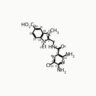 CCn1c(CNC(=O)c2nc(Cl)c(N)nc2N)[n+](C)c2cc(C(=O)O)ccc21